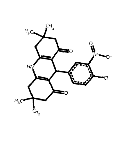 CC1(C)CC(=O)C2=C(C1)NC1=C(C(=O)CC(C)(C)C1)C2c1ccc(Cl)c([N+](=O)[O-])c1